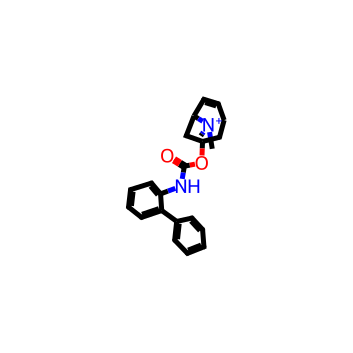 C[N+]1(C)C2C=CC1CC(OC(=O)Nc1ccccc1-c1ccccc1)C2